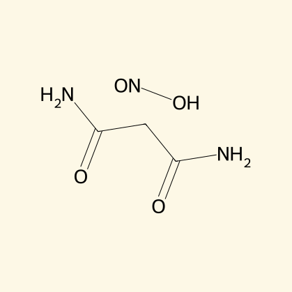 NC(=O)CC(N)=O.O=NO